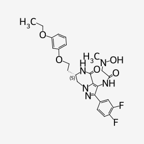 CCOc1cccc(OCC[C@H]2Cn3nc(-c4ccc(F)c(F)c4)c(NC(=O)CN(C)O)c3C(=O)N2)c1